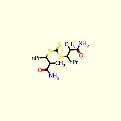 CCCC(SC(=S)SC(CCC)C(C)C(N)=O)C(C)C(N)=O